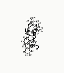 COC(=O)CCOC1[C@H]2O[Si](C(C)C)(C(C)C)O[Si](C(C)C)(C(C)C)OC[C@H]2O[C@H]1n1ccc(=O)n(C(=O)c2ccccc2)c1=O